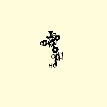 C=CC(C1CC1)S(=O)(=O)C1(c2cc(N3CCOCC3)nc(-c3ccc(NC(=O)NCCO)cc3)n2)CCCC1